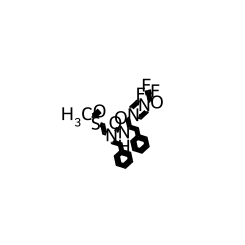 CC(=O)SCCN(CCc1ccccc1)C(=O)NC(Cc1ccccc1)C(=O)N1CCN(C(=O)C(F)(F)F)CC1